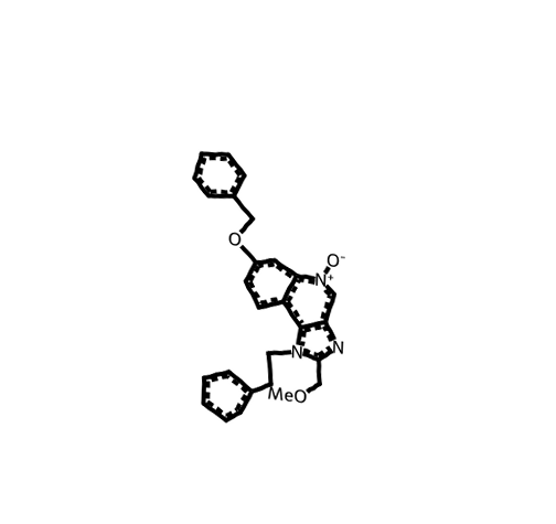 COCc1nc2c[n+]([O-])c3cc(OCc4ccccc4)ccc3c2n1CCc1ccccc1